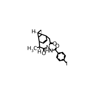 C[C@H]1C(=O)N(NC(=O)c2ccc(I)cc2)C(=O)CC2C=CC1C1[C@H]3C[C@]213